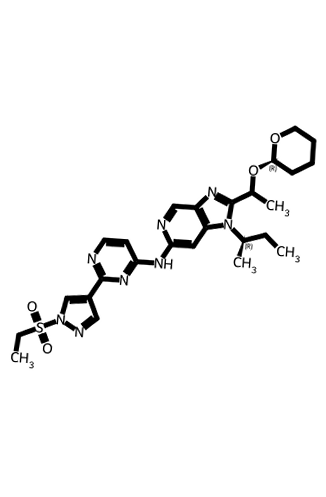 CC[C@@H](C)n1c(C(C)O[C@@H]2CCCCO2)nc2cnc(Nc3ccnc(-c4cnn(S(=O)(=O)CC)c4)n3)cc21